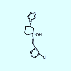 O[C@]1(C#Cc2cccc(Cl)c2)CCC[C@@H](n2ccnc2)C1